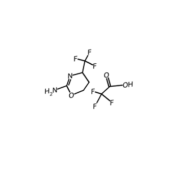 NC1=NC(C(F)(F)F)CCO1.O=C(O)C(F)(F)F